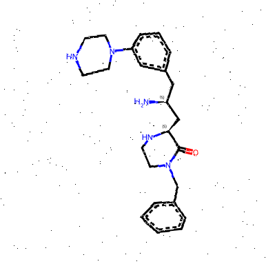 N[C@@H](Cc1cccc(N2CCNCC2)c1)C[C@@H]1NCCN(Cc2ccccc2)C1=O